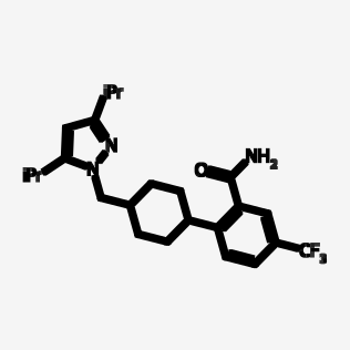 CC(C)c1cc(C(C)C)n(CC2CCC(c3ccc(C(F)(F)F)cc3C(N)=O)CC2)n1